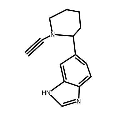 C#CN1CCCCC1c1ccc2nc[nH]c2c1